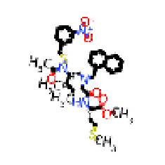 CC[C@H](C)[C@@H](CN(CC(=O)N[C@@H](CCSC)C(=O)OC)Cc1cccc2ccccc12)N(SCc1cccc([N+](=O)[O-])c1)C(C)=O